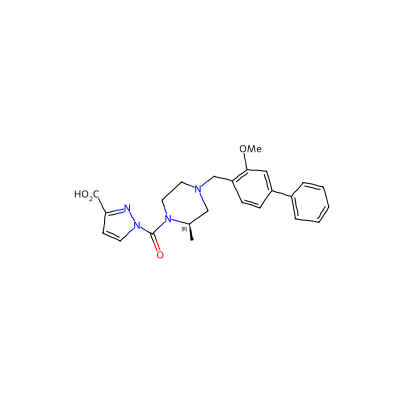 COc1cc(-c2ccccc2)ccc1CN1CCN(C(=O)n2ccc(C(=O)O)n2)[C@H](C)C1